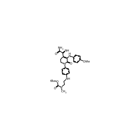 COc1ccc(NC2=C(C(=N)C(N)=O)CCN(c3ccc(NCCN(C)C(=O)OC(C)(C)C)cc3)C2=O)cc1